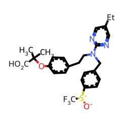 CCc1cnc(N(CCc2ccc(OC(C)(C)C(=O)O)cc2)Cc2ccc([S+]([O-])C(F)(F)F)cc2)nc1